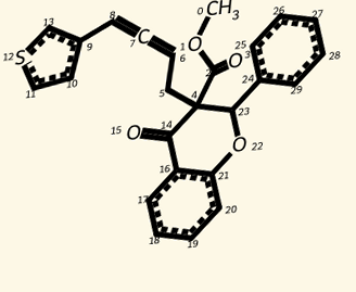 COC(=O)C1(CC=C=Cc2ccsc2)C(=O)c2ccccc2OC1c1ccccc1